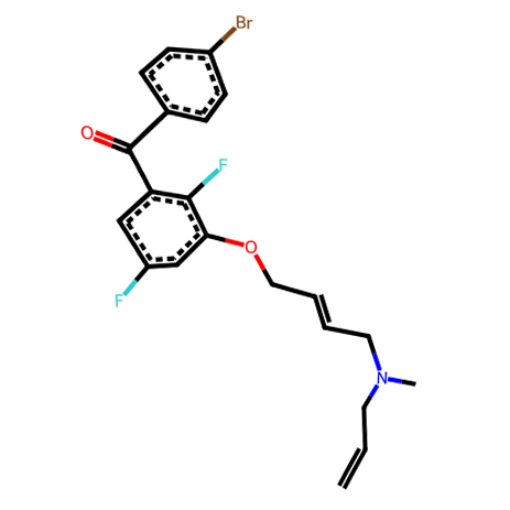 C=CCN(C)CC=CCOc1cc(F)cc(C(=O)c2ccc(Br)cc2)c1F